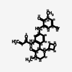 C=CC(=O)Nc1cc(Nc2nc(Br)cn(C)c2=O)ccc1C1C(=O)N(C)CCN1C1COC1